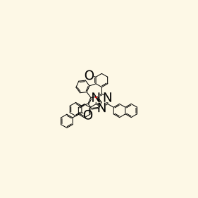 C1=C(c2nc(-c3ccc(-c4ccccc4)cc3)nc(-c3ccc4ccccc4c3)n2)c2c(oc3cccc(-c4cccc5oc6ccccc6c45)c23)CC1